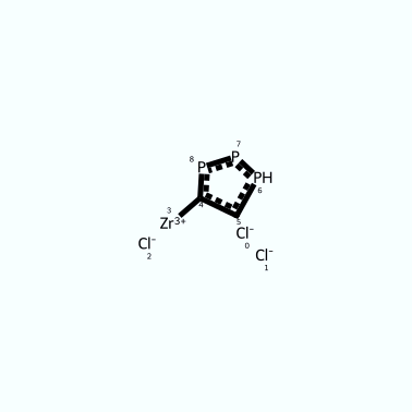 [Cl-].[Cl-].[Cl-].[Zr+3][c]1c[pH]pp1